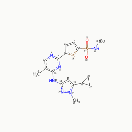 Cc1cnc(-c2ccc(S(=O)(=O)NC(C)(C)C)s2)nc1Nc1cc(C2CC2)n(C)n1